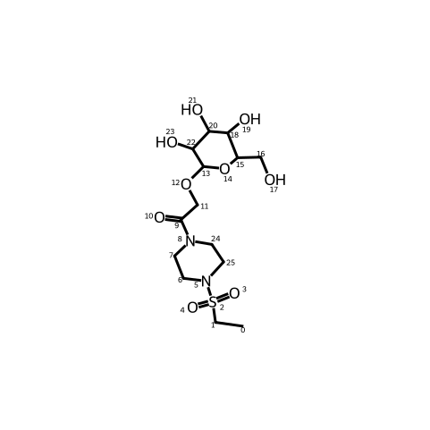 CCS(=O)(=O)N1CCN(C(=O)COC2OC(CO)C(O)C(O)C2O)CC1